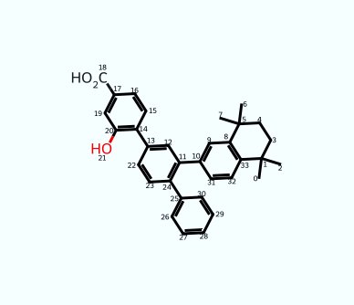 CC1(C)CCC(C)(C)c2cc(-c3cc(-c4ccc(C(=O)O)cc4O)ccc3-c3ccccc3)ccc21